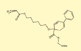 C=CC(=O)OCCCCCCOC1(C(=O)OCOC)C=CC(c2ccccc2)=CC1